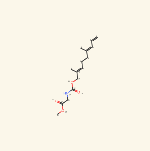 C=C/C=C(\C)CC/C=C(\C)COC(=O)NCC(=O)OC